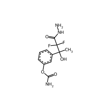 CC(O)(c1cccc(OC(N)=O)c1)C(F)(F)C(=O)NN